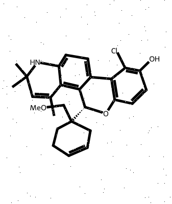 COCC1([C@H]2Oc3ccc(O)c(Cl)c3-c3ccc4c(c32)C(C)=CC(C)(C)N4)CC=CCC1